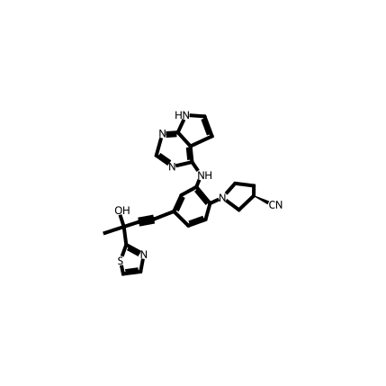 CC(O)(C#Cc1ccc(N2CC[C@@H](C#N)C2)c(Nc2ncnc3[nH]ccc23)c1)c1nccs1